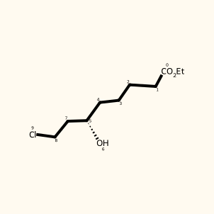 CCOC(=O)CCCC[C@H](O)CCCl